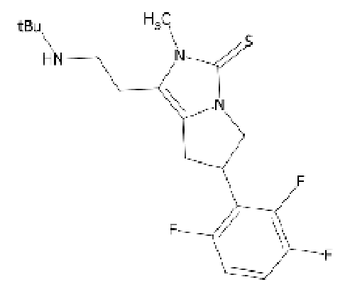 Cn1c(CCNC(C)(C)C)c2n(c1=S)CC(c1c(F)ccc(F)c1F)C2